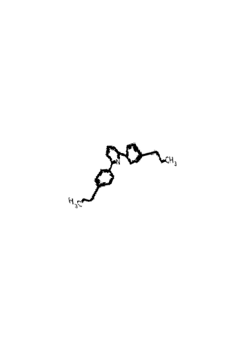 CCCc1ccc(-c2cccc(-c3ccc(CCC)cc3)n2)cc1